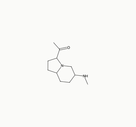 CNC1CCC2CCC(C(C)=O)N2C1